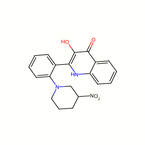 O=c1c(O)c(-c2ccccc2N2CCCC([N+](=O)[O-])C2)[nH]c2ccccc12